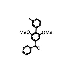 COc1cc(C(=O)c2ccccc2)cc(OC)c1-c1cccc(C)c1